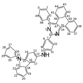 c1ccc(-c2nc(-c3ccc(Nc4ccc5c(c4)c4ccccc4n5-c4ccccc4)cc3)nc3c4ccccc4c4ccccc4c23)cc1